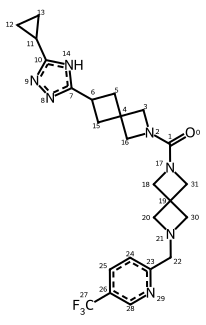 O=C(N1CC2(CC(c3nnc(C4CC4)[nH]3)C2)C1)N1CC2(CN(Cc3ccc(C(F)(F)F)cn3)C2)C1